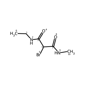 CCNC(=O)C(Br)C(=O)NC